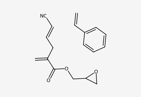 C=C(CC=CC#N)C(=O)OCC1CO1.C=Cc1ccccc1